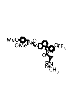 COc1ccc(CNC(=O)CN2CCC3C(=CC=CC3(CNC(=O)C3CC3c3nc(C)no3)c3cccc(OC(F)(F)F)c3)C2)c(OC)c1